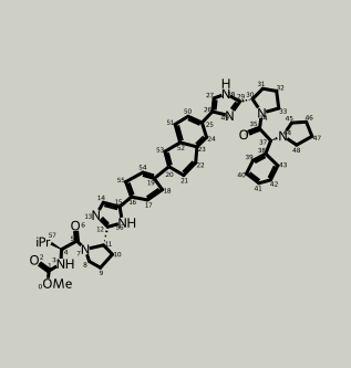 COC(=O)N[C@H](C(=O)N1CCC[C@H]1c1ncc(-c2ccc(-c3ccc4cc(-c5c[nH]c([C@@H]6CCCN6C(=O)[C@@H](c6ccccc6)N6CCCC6)n5)ccc4c3)cc2)[nH]1)C(C)C